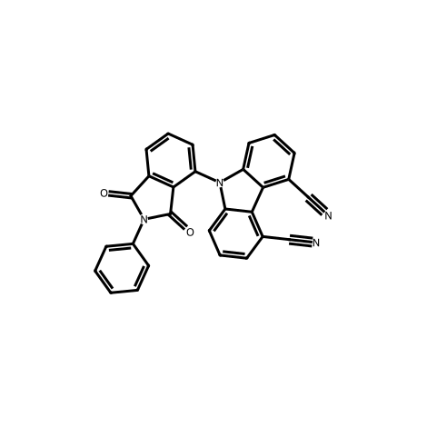 N#Cc1cccc2c1c1c(C#N)cccc1n2-c1cccc2c1C(=O)N(c1ccccc1)C2=O